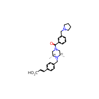 C[C@@H]1CN(C(=O)c2cccc(CN3CCCC3)c2)C[C@H](C)N1Cc1ccc(C=CC(=O)O)cc1